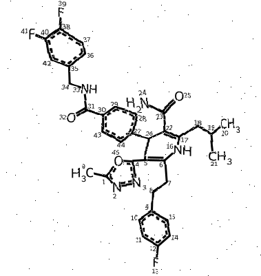 Cc1nnc(C2=C(CCc3ccc(F)cc3)NC(CC(C)C)=C(C(N)=O)C2c2ccc(C(=O)NCc3ccc(F)c(F)c3)cc2)o1